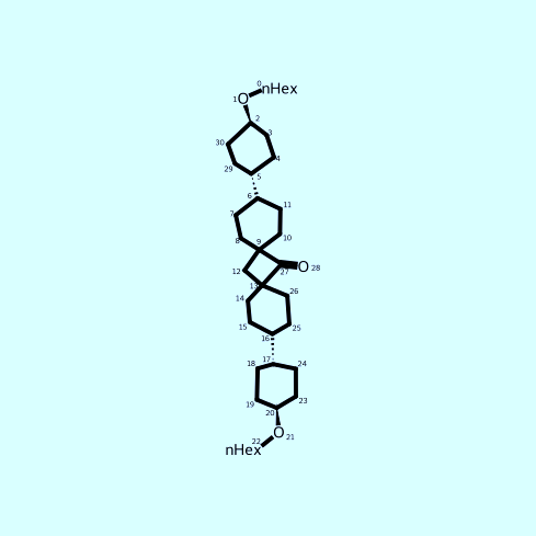 CCCCCCO[C@H]1CC[C@H](C2CCC3(CC2)CC2(CCC([C@H]4CC[C@H](OCCCCCC)CC4)CC2)C3=O)CC1